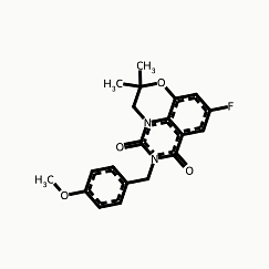 COc1ccc(Cn2c(=O)c3cc(F)cc4c3n(c2=O)CC(C)(C)O4)cc1